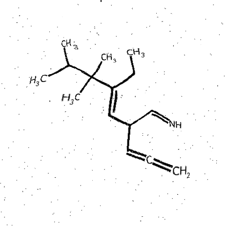 C=C=CC(C=N)/C=C(\CC)C(C)(C)C(C)C